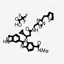 CNC(=O)c1ccc2nc(-c3ccc4cn[nH]c4c3)n(C(CC(=O)NCc3nc(Cc4cccs4)no3)C3CC3)c2c1.O=C(O)C(F)(F)F